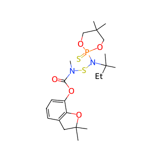 CCC(C)(C)N(SN(C)C(=O)Oc1cccc2c1OC(C)(C)C2)P1(=S)OCC(C)(C)CO1